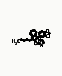 CCCCCN1C(=O)C(c2ccc3c(c2)OCO3)(n2ccnc2)c2ccccc21